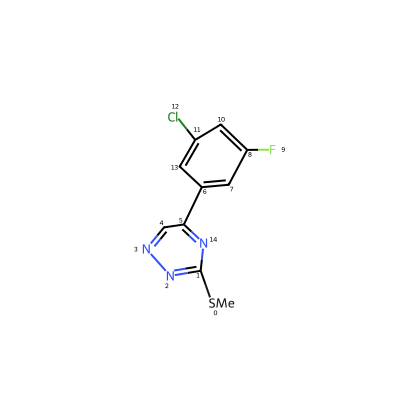 CSc1nncc(-c2cc(F)cc(Cl)c2)n1